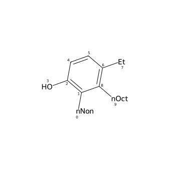 CCCCCCCCCc1c(O)ccc(CC)c1CCCCCCCC